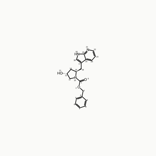 O=C(OCc1ccccc1)N1C[C@H](O)C[C@H]1Cc1c[nH]c2ncccc12